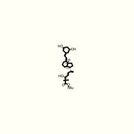 C=C(/C=C/[C@@H](O)C(C)(C)C(=O)OCCCC)[C@H]1CC[C@H]2/C(=C/C=C3C[C@@H](O)C[C@H](O)C3)CCC[C@]12C